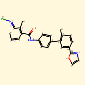 C\C=C/C(C(=O)Nc1ccc(-c2cc(-c3ncco3)ccc2C)cc1)=C(C)\C=N\Cl